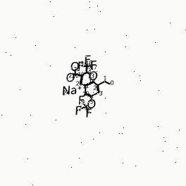 CCc1cc(OC(F)(F)F)cc2c1OC(C(F)(F)F)C(C(=O)[O-])=C2.[Na+]